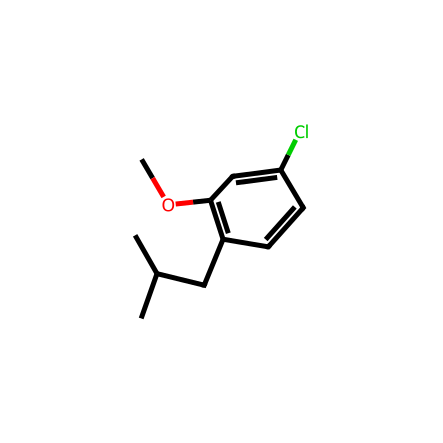 COc1cc(Cl)ccc1CC(C)C